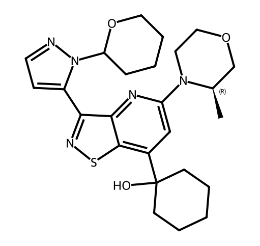 C[C@@H]1COCCN1c1cc(C2(O)CCCCC2)c2snc(-c3ccnn3C3CCCCO3)c2n1